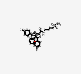 NS(=O)(=O)CCCCNC(=O)N1CC(c2ccccc2)(S(=O)(=O)c2ccc(Cl)cc2)C(c2ccc(F)cc2)=N1